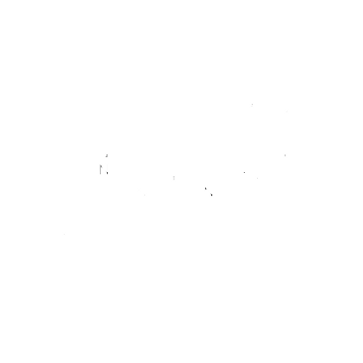 CCC(CC)(CC)/N=C/c1ccccn1